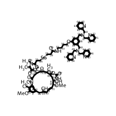 COc1cc2cc(c1Cl)N(C)C(=O)C[C@H](OC(=O)[C@@H](C)N(C)C(=O)CCSSCCC(=O)NCCCCOc1cc(CN(Cc3ccccn3)Cc3ccccn3)cc(CN(Cc3ccccn3)Cc3ccccn3)c1)[C@@]1(C)OC1[C@@H](C)[C@H]1C[C@](O)(NC(=O)O1)[C@@H](OC)/C=C/C=C(\C)C2